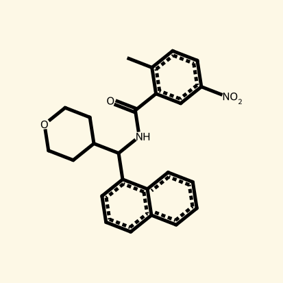 Cc1ccc([N+](=O)[O-])cc1C(=O)NC(c1cccc2ccccc12)C1CCOCC1